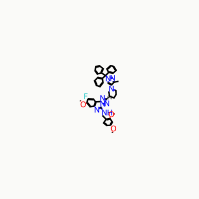 COc1ccc(CNc2nc3cc(OC)c(F)cc3c3nc([C@@H]4CCCN(c5cn(C(c6ccccc6)(c6ccccc6)c6ccccc6)nc5C)C4)nn23)c(OC)c1